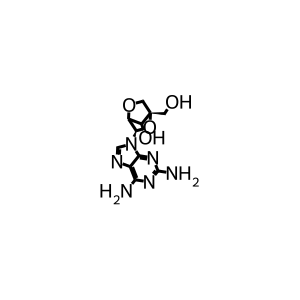 Nc1nc(N)c2ncn([C@@H]3O[C@@]4(CO)COC3C4O)c2n1